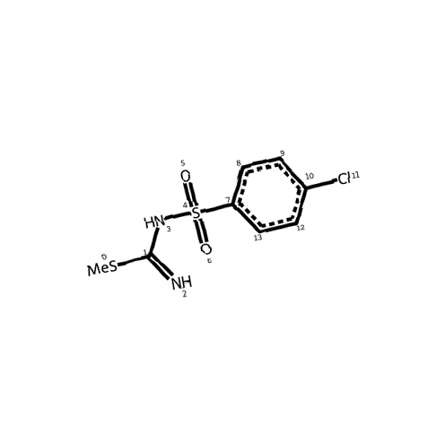 CSC(=N)NS(=O)(=O)c1ccc(Cl)cc1